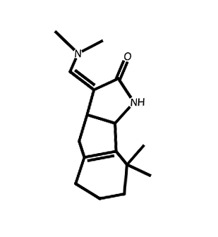 CN(C)C=C1C(=O)NC2C3=C(CCCC3(C)C)CC12